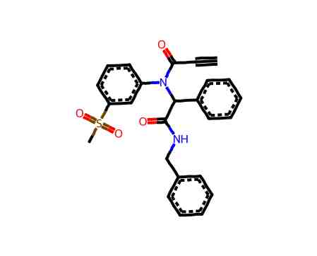 C#CC(=O)N(c1cccc(S(C)(=O)=O)c1)C(C(=O)NCc1ccccc1)c1ccccc1